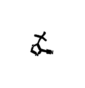 CC(C)(C)c1scnc1C#N